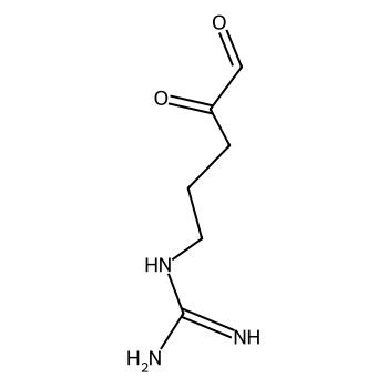 N=C(N)NCCCC(=O)C=O